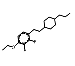 CCCC1CCC(CCc2ccc(OCC)c(F)c2F)CC1